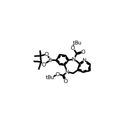 CC(C)(C)OC(=O)N1Cc2cccnc2N(C(=O)OC(C)(C)C)c2ccc(B3OC(C)(C)C(C)(C)O3)cc21